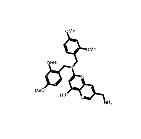 COc1ccc(CN(Cc2ccc(OC)cc2OC)c2cc(C)c3ncc(CN)cc3n2)c(OC)c1